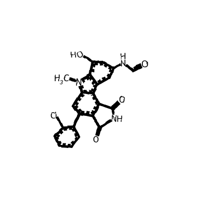 Cn1c2cc(-c3ccccc3Cl)c3c(c2c2cc(NC=O)cc(O)c21)C(=O)NC3=O